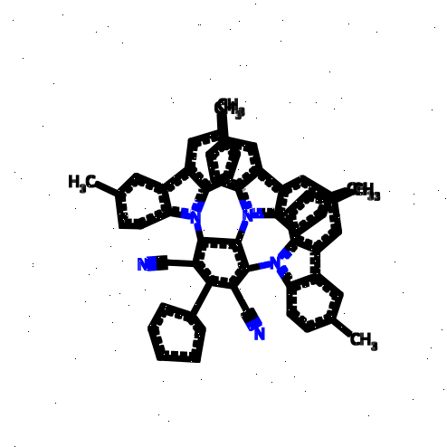 Cc1ccc2c(c1)c1cc(C)ccc1n2-c1c(C#N)c(-c2ccccc2)c(C#N)c(-n2c3ccc(C)cc3c3cc(C)ccc32)c1-n1c2ccc(C)cc2c2cc(C)ccc21